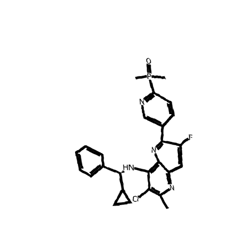 Cc1nc2cc(F)c(-c3ccc(P(C)(C)=O)nc3)nc2c(N[C@@H](c2ccccc2)C2CC2)c1Cl